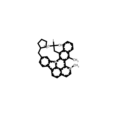 Cc1c2ccccc2c(CC(C)(C)I)c2c1c1c3c(ccc4c5ccc(CC6CCCC6)cc5n2c43)cc[n+]1C